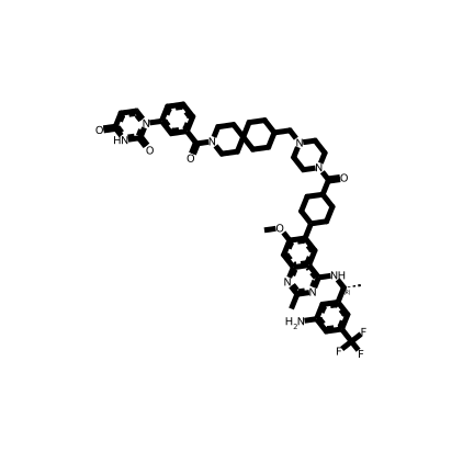 COc1cc2nc(C)nc(N[C@H](C)c3cc(N)cc(C(F)(F)F)c3)c2cc1C1CCC(C(=O)N2CCN(CC3CCC4(CC3)CCN(C(=O)c3cccc(-n5ccc(=O)[nH]c5=O)c3)CC4)CC2)CC1